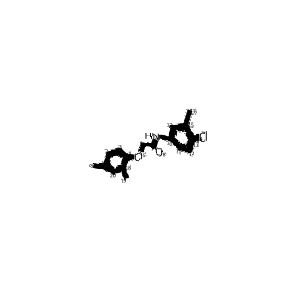 Cc1ccc(OCC(=O)Nc2ccc(Cl)c(C)c2)c(C)c1